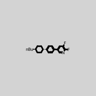 CCCC[C@H]1CC[C@H](c2ccc(-c3cnc(F)c(F)c3)cc2)CC1